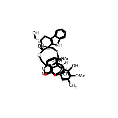 COc1c(C)cc2c(c1O)[C@@H]1[C@@H]3[C@@H]4SC[C@]5(N[C@H](CO)Cc6c5[nH]c5ccccc65)C(=O)OCC(c5c6c(c(C)c(OC(C)=O)c54)OCO6)N3C(C#N)(C2)CN1C